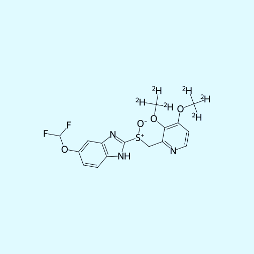 [2H]C([2H])([2H])Oc1ccnc(C[S+]([O-])c2nc3cc(OC(F)F)ccc3[nH]2)c1OC([2H])([2H])[2H]